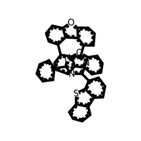 c1ccc(-c2nc(-c3cccc4c3sc3ccccc34)nc(-c3cccc4oc5cccc(-c6cccc7c6oc6ccccc67)c5c34)n2)cc1